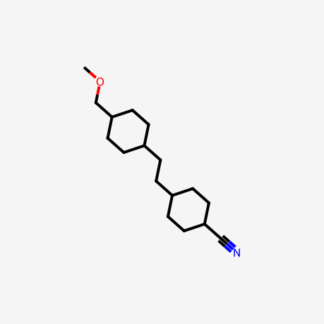 COCC1CCC(CCC2CCC(C#N)CC2)CC1